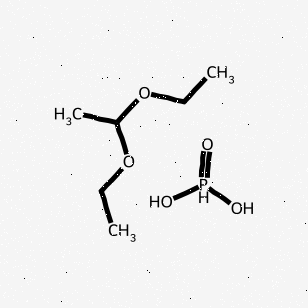 CCOC(C)OCC.O=[PH](O)O